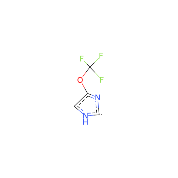 FC(F)(F)Oc1c[nH][c]n1